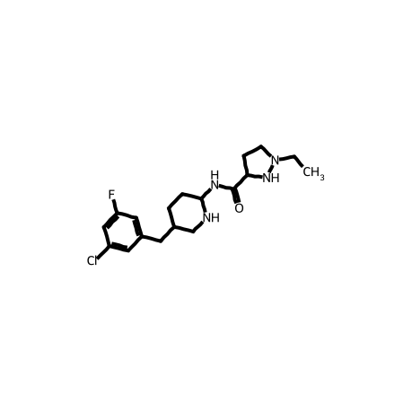 CCN1CCC(C(=O)NC2CCC(Cc3cc(F)cc(Cl)c3)CN2)N1